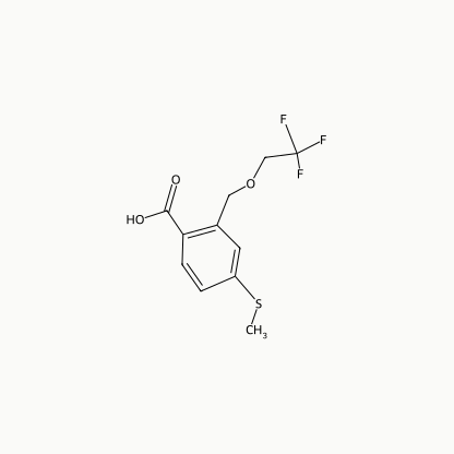 CSc1ccc(C(=O)O)c(COCC(F)(F)F)c1